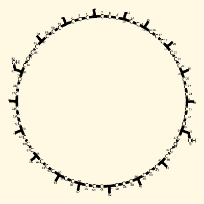 CC1CCCC(C)CCCC(C)CCC(C)CCCC(C)CCCC(C)CCCC(C)CCOC(CO)COCCC(C)CCCC(C)CCCC(C)CCCC(C)CCC(C)CCCC(C)CCCC(C)CCCC(C)CCOC(CO)COCCC(C)CCC1